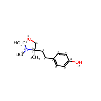 CC(C)(C)N(C(=O)O)[C@@](C)(CO)CCc1ccc(O)cc1